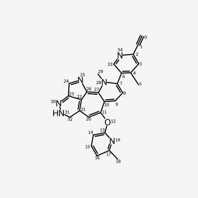 C#Cc1cc(C)c(C2=CC=c3c(Oc4cccc(C)n4)cc4c5c(cnc-5c3N2C)=NNC4)cn1